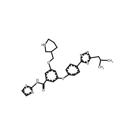 CC(C)Cc1nnc(-c2ccc(Oc3cc(OCC4CCCNC4)cc(C(=O)Nc4nccs4)c3)cc2)o1